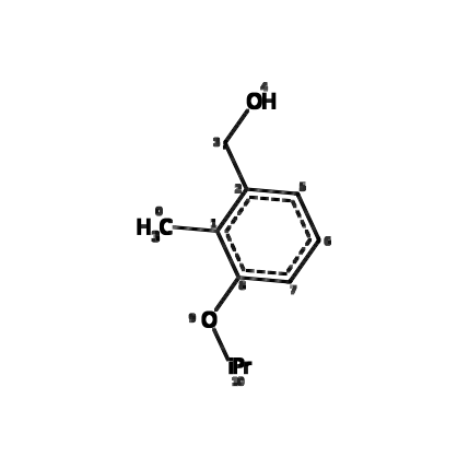 Cc1c([CH]O)cccc1OC(C)C